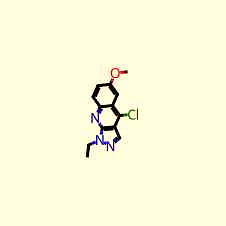 CCn1ncc2c(Cl)c3cc(OC)ccc3nc21